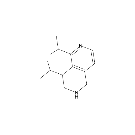 CC(C)c1nccc2c1C(C(C)C)CNC2